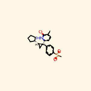 Cc1ccc([C@]2(c3ccc(S(C)(=O)=O)cc3)C[C@@H]2C2CCCC2)[nH]c1=O